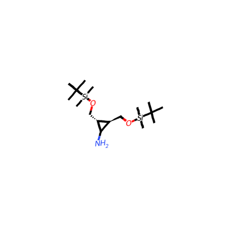 CC(C)(C)[Si](C)(C)OC[C@H]1C(N)[C@@H]1CO[Si](C)(C)C(C)(C)C